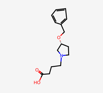 O=C(O)CCCN1CC[C@@H](OCc2ccccc2)C1